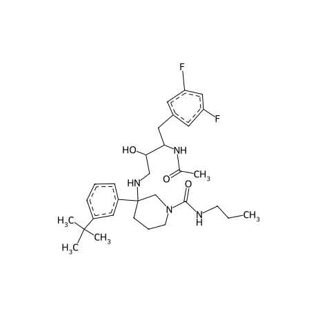 CCCNC(=O)N1CCCC(NCC(O)C(Cc2cc(F)cc(F)c2)NC(C)=O)(c2cccc(C(C)(C)C)c2)C1